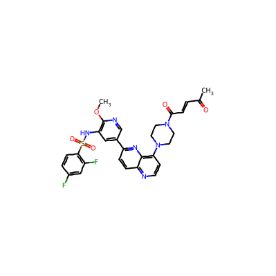 COc1ncc(-c2ccc3nccc(N4CCN(C(=O)/C=C/C(C)=O)CC4)c3n2)cc1NS(=O)(=O)c1ccc(F)cc1F